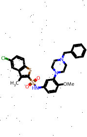 COc1ccc(NS(=O)(=O)c2sc3ccc(Cl)cc3c2C)cc1N1CCN(Cc2ccccc2)CC1